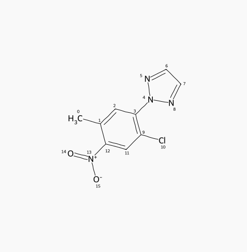 Cc1cc(-n2nccn2)c(Cl)cc1[N+](=O)[O-]